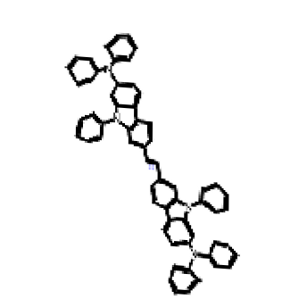 C(=C\c1ccc2c3ccc(N(c4ccccc4)c4ccccc4)cc3n(-c3ccccc3)c2c1)/c1ccc2c3ccc(N(c4ccccc4)c4ccccc4)cc3n(-c3ccccc3)c2c1